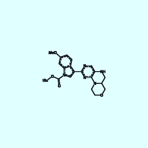 COc1ccc2c(-c3ncc4c(n3)N3CCOCC3CN4)cn(C(=O)OC(C)(C)C)c2c1